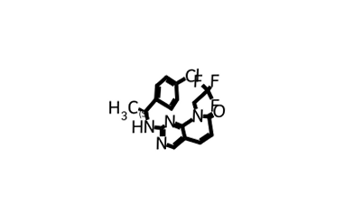 C[C@H](Nc1ncc2ccc(=O)n(CC(F)(F)F)c2n1)c1ccc(Cl)cc1